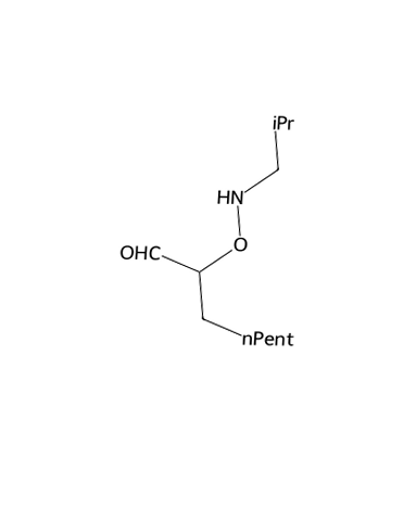 CCCCCCC(C=O)ONCC(C)C